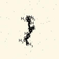 COCCN(C)C(=O)CN1CCC(NCc2ccc3c(c2)cc(C#CCNc2ccc(C(C)(C)N)nc2)n3CC(F)(F)F)CC1